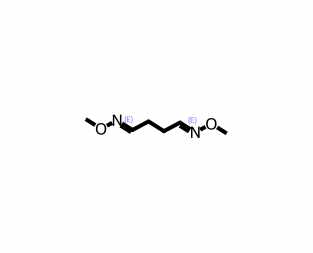 CO/N=C/CC/C=N/OC